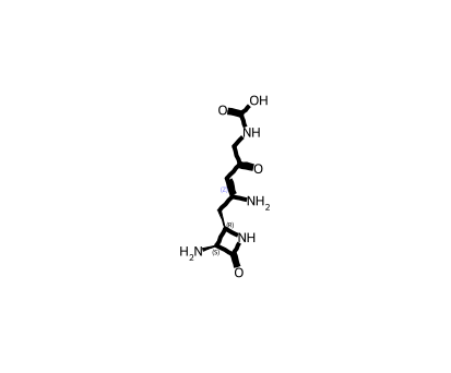 N/C(=C\C(=O)CNC(=O)O)C[C@H]1NC(=O)[C@H]1N